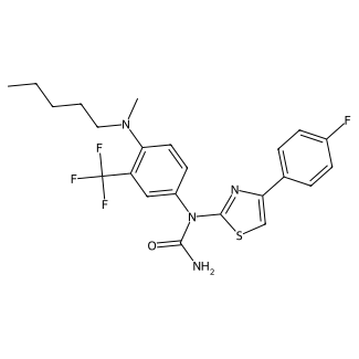 CCCCCN(C)c1ccc(N(C(N)=O)c2nc(-c3ccc(F)cc3)cs2)cc1C(F)(F)F